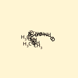 Cc1cc(C)c(CNC(=O)c2cc(-c3ccc(N4CCN(CCNCCCCC5CC6CCCC(C5)C6)CC4)nc3)cc3c2c(C)cn3C(C)C)c(=O)[nH]1